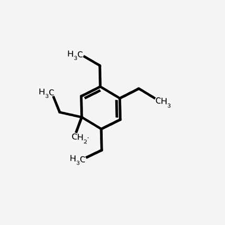 [CH2]C1(CC)C=C(CC)C(CC)=CC1CC